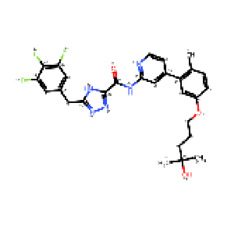 Cc1ccc(OCCCC(C)(C)O)cc1-c1ccnc(NC(=O)c2nnc(Cc3cc(F)c(F)c(F)c3)[nH]2)c1